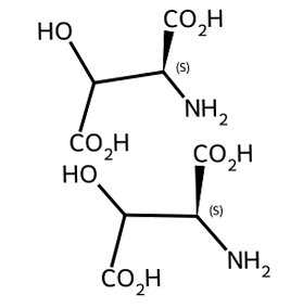 N[C@H](C(=O)O)C(O)C(=O)O.N[C@H](C(=O)O)C(O)C(=O)O